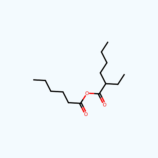 CCCCCC(=O)OC(=O)C(CC)CCCC